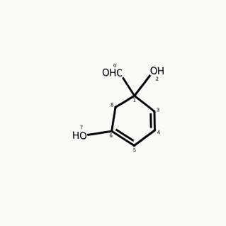 O=CC1(O)C=CC=C(O)C1